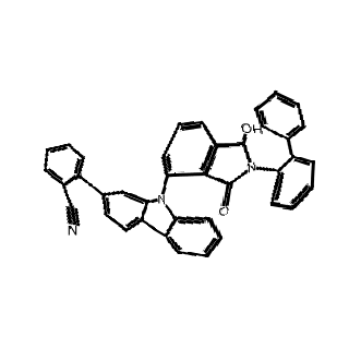 N#Cc1ccccc1-c1ccc2c3ccccc3n(-c3cccc4c3C(=O)N(c3ccccc3-c3ccccc3)C4O)c2c1